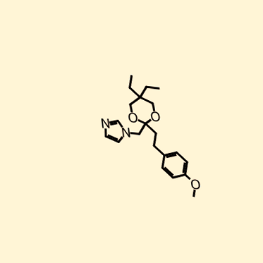 CCC1(CC)COC(CCc2ccc(OC)cc2)(Cn2ccnc2)OC1